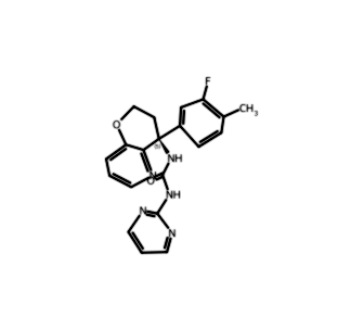 Cc1ccc([C@@]2(NC(=O)Nc3ncccn3)CCOc3cccnc32)cc1F